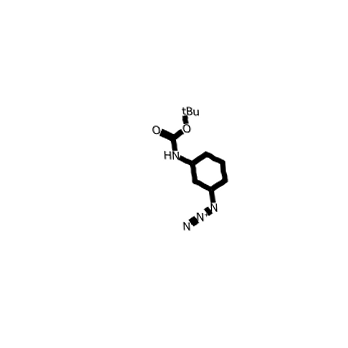 CC(C)(C)OC(=O)NC1CCCC(N=[N+]=[N-])C1